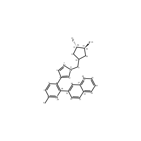 Cc1ccc(-c2cnn(CC3C[C@H](F)[C@@H](F)C3)c2)c(-c2ccc3cccnc3c2)n1